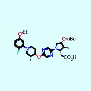 CCCCO[C@H]1CN(c2cnc(O[C@@H]3CCN(c4cc(OCC)ccc4F)C[C@H]3C)cn2)[C@@H](CC(=O)O)[C@@H]1C